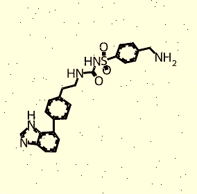 NCc1ccc(S(=O)(=O)NC(=O)NCCc2ccc(-c3cccc4nc[nH]c34)cc2)cc1